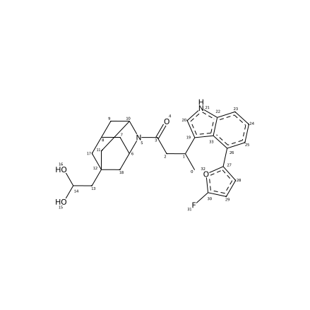 CC(CC(=O)N1C2CC3CC1CC(CC(O)O)(C3)C2)c1c[nH]c2cccc(-c3ccc(F)o3)c12